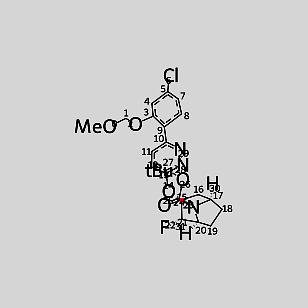 COCOc1cc(Cl)ccc1-c1ccc(O[C@@H]2C[C@H]3CC[C@@H]([C@@H]2F)N3C(=O)OC(C)(C)C)nn1